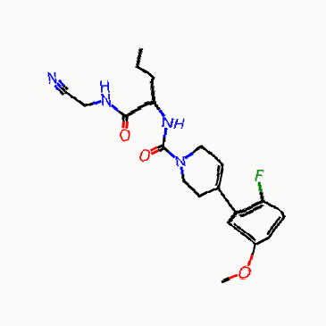 CCCC(NC(=O)N1CC=C(c2cc(OC)ccc2F)CC1)C(=O)NCC#N